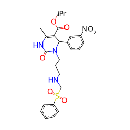 CC1=C(C(=O)OC(C)C)C(c2cccc([N+](=O)[O-])c2)N(CCCNCS(=O)(=O)c2ccccc2)C(=O)N1